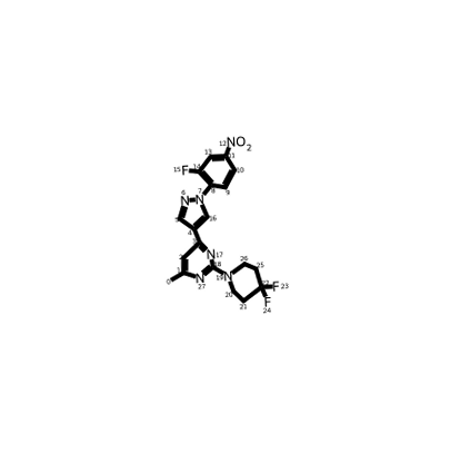 Cc1cc(-c2cnn(-c3ccc([N+](=O)[O-])cc3F)c2)nc(N2CCC(F)(F)CC2)n1